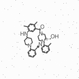 Cc1cc(C)c(C(=O)N2CCN(c3ccccc3C)[C@@H](CO)C2)cc1NC1CCN(c2ccccc2C#N)CC1